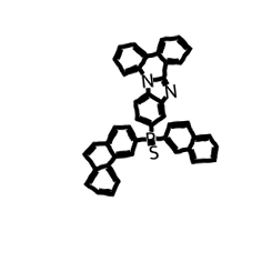 S=P(c1ccc2ccccc2c1)(c1ccc2c(c1)nc1c3ccccc3c3ccccc3n21)c1ccc2ccc3ccccc3c2c1